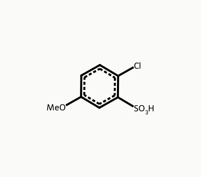 COc1ccc(Cl)c(S(=O)(=O)O)c1